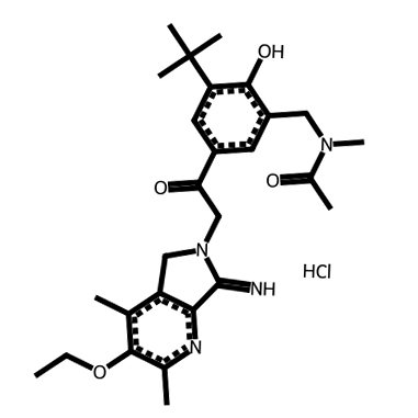 CCOc1c(C)nc2c(c1C)CN(CC(=O)c1cc(CN(C)C(C)=O)c(O)c(C(C)(C)C)c1)C2=N.Cl